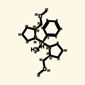 B[PH](c1ccccc1)(N1CCC[C@H]1COC)N1CCC[C@H]1COC